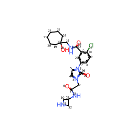 O=C(Cn1ccn(-c2ccc(Cl)c(C(=O)NCC3(O)CCCCCC3)c2)c1=O)NC1CNC1